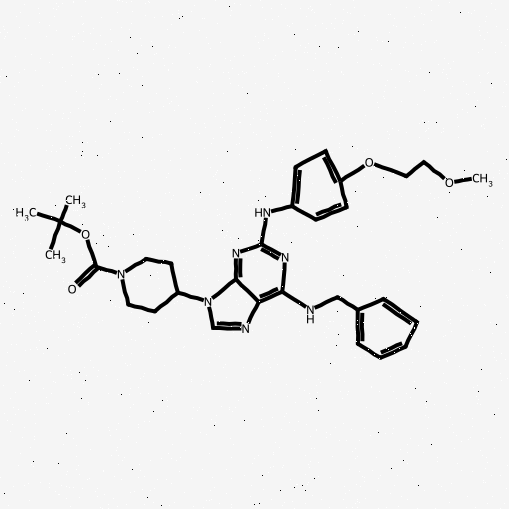 COCCOc1ccc(Nc2nc(NCc3ccccc3)c3ncn(C4CCN(C(=O)OC(C)(C)C)CC4)c3n2)cc1